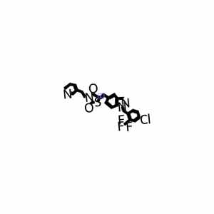 O=C1S/C(=C\c2ccc3c(cnn3Cc3ccc(Cl)cc3C(F)(F)F)c2)C(=O)N1CCC1=CCCN=C1